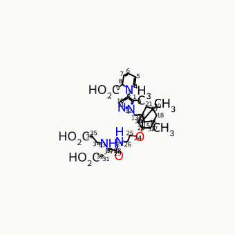 Cc1c(N2C=CC=CC2C(=O)O)cnn1CC12CC3(C)CC(C)(C1)CC(OCCNC(=O)[C@H](CC(=O)O)NCCC(=O)O)(C3)C2